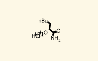 CCCCCCC(N)=O.Cl.Cl.O